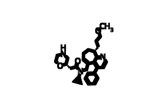 COCCC[C@H]1CCC=C(CN(C(=O)C[C@H]2CNCCO2)C2CC2)c2c(-c3ccccc3)ccnc21